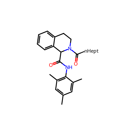 CCCCCCCC(=O)N1CCc2ccccc2C1C(=O)Nc1c(C)cc(C)cc1C